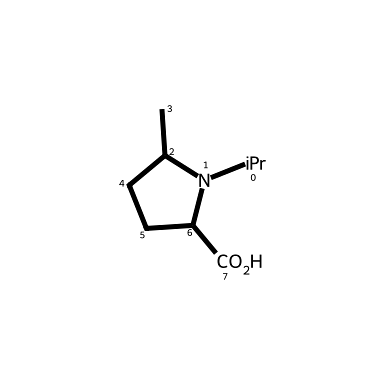 CC(C)N1C(C)CCC1C(=O)O